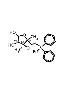 CC(C)(C)[Si](OC[C@@]1(C)OC(O)[C@H](O)[C@]1(C)O)(c1ccccc1)c1ccccc1